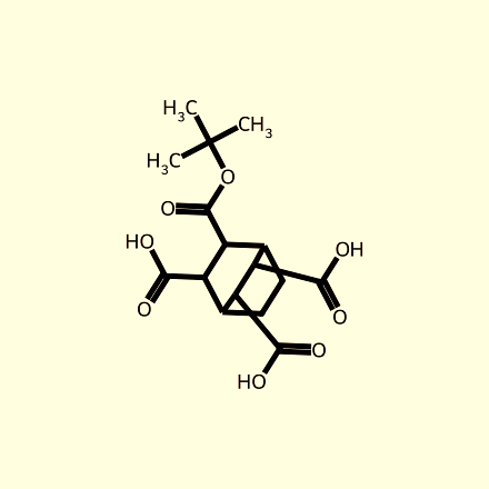 CC(C)(C)OC(=O)C1C2CCC(C(C(=O)O)C2C(=O)O)C1C(=O)O